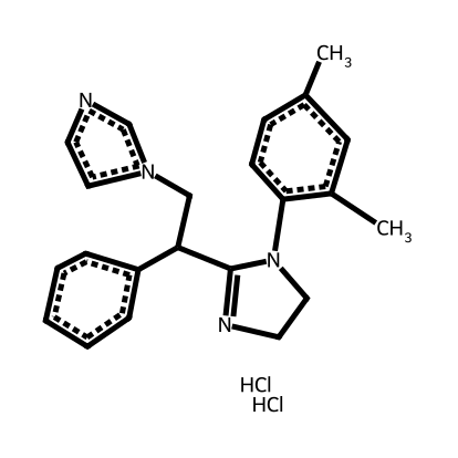 Cc1ccc(N2CCN=C2C(Cn2ccnc2)c2ccccc2)c(C)c1.Cl.Cl